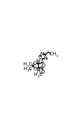 CCc1noc([C@H]2O[C@@H](OC)[C@@H]3OC(C)(C)O[C@@H]32)n1